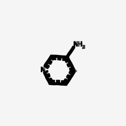 Nc1[c]ccnc1